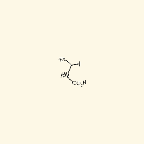 C[CH]C(I)NC(=O)O